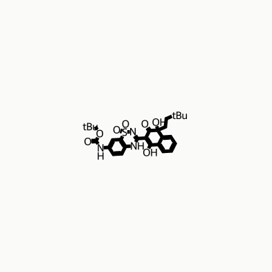 CC(C)(C)CCC1(O)C(=O)C(C2=NS(=O)(=O)c3cc(NC(=O)OC(C)(C)C)ccc3N2)=C(O)c2ccccc21